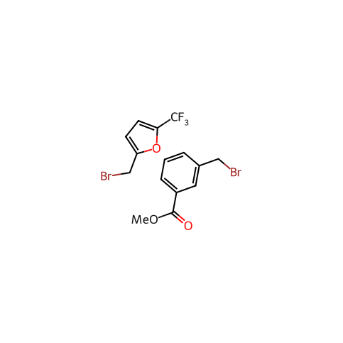 COC(=O)c1cccc(CBr)c1.FC(F)(F)c1ccc(CBr)o1